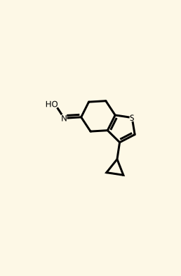 ON=C1CCc2scc(C3CC3)c2C1